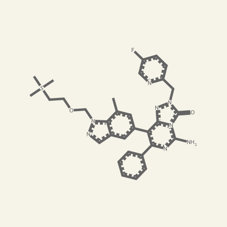 Cc1cc(-c2c(-c3ccccc3)nc(N)n3c(=O)n(Cc4ccc(F)cn4)nc23)cc2cnn(COCCS(C)(C)C)c12